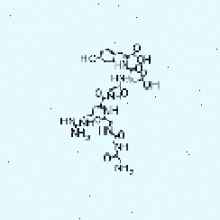 N=C(N)NCCC[C@H](NC(=O)CNC(=O)CNC(=O)CN)C(=O)NCC(=O)N[C@@H](CC(=O)O)C(=O)N[C@@H](Cc1ccc(O)cc1)C(=O)O